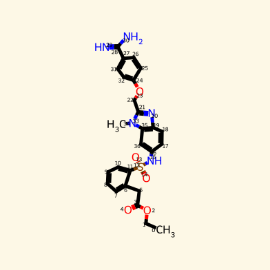 CCOC(=O)Cc1ccccc1S(=O)(=O)Nc1ccc2nc(COc3ccc(C(=N)N)cc3)n(C)c2c1